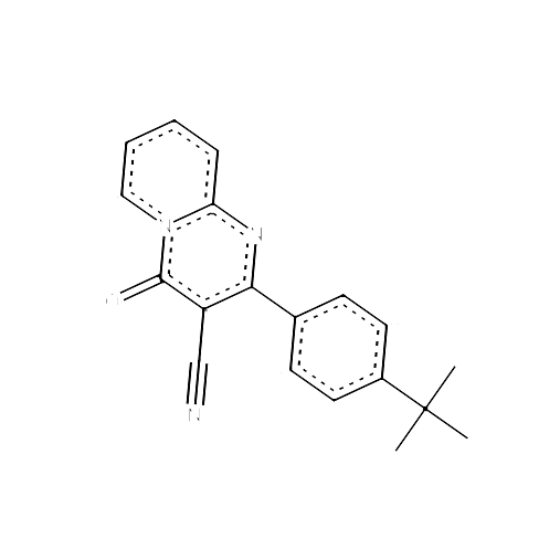 CC(C)(C)c1ccc(-c2nc3ccccn3c(=O)c2C#N)cc1